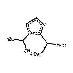 CCCCCCCCCCC(CCCCCCC)c1nccn1C(C)CCCC